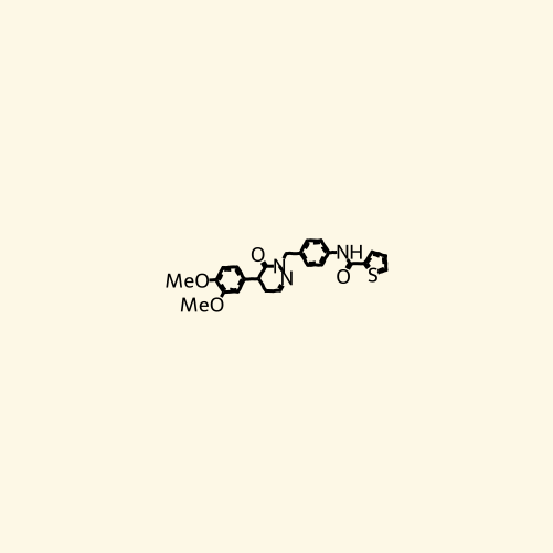 COc1ccc(C2CC=NN(Cc3ccc(NC(=O)c4cccs4)cc3)C2=O)cc1OC